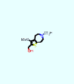 COc1c(CO)sc2c1CCN(C(=O)O)CC2